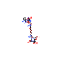 NC(=O)[C@H](Cc1c[nH]c2ccccc12)NC(=O)[C@@H](CC(=O)O)NC(=O)CCC(=O)NCCCOCCOCCOCCCNC(=O)CN1CCN(CC(=O)O)CCN(CC(=O)O)CCN(CC(=O)O)CC1